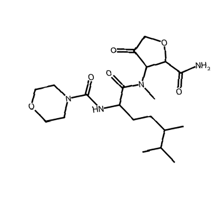 CC(C)C(C)CCC(NC(=O)N1CCOCC1)C(=O)N(C)C1C(=O)COC1C(N)=O